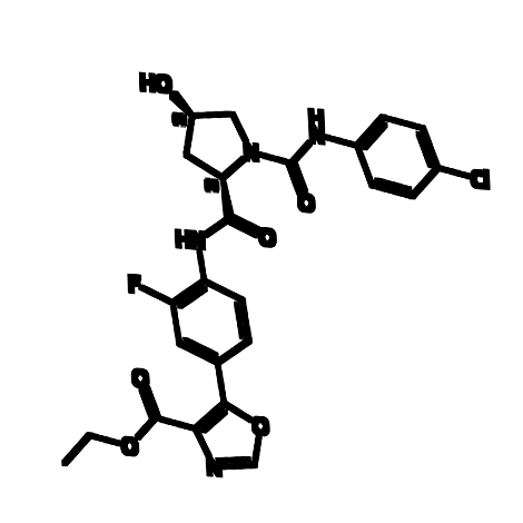 CCOC(=O)c1ncoc1-c1ccc(NC(=O)[C@H]2C[C@@H](O)CN2C(=O)Nc2ccc(Cl)cc2)c(F)c1